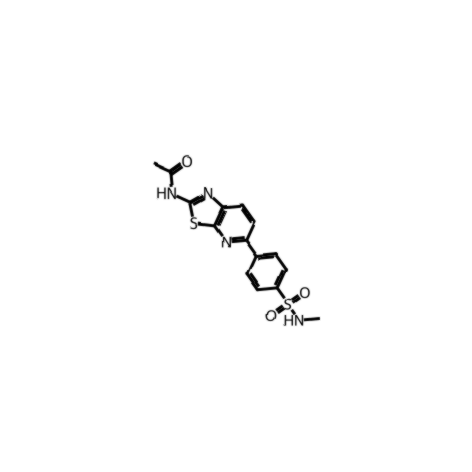 CNS(=O)(=O)c1ccc(-c2ccc3nc(NC(C)=O)sc3n2)cc1